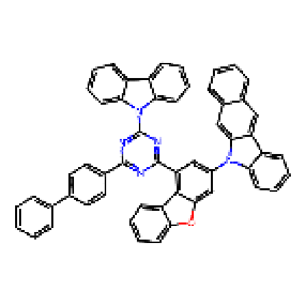 c1ccc(-c2ccc(-c3nc(-c4cc(-n5c6ccccc6c6cc7ccccc7cc65)cc5oc6ccccc6c45)nc(-n4c5ccccc5c5ccccc54)n3)cc2)cc1